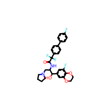 O=C(NC(CN1CCCC1)C(O)c1cc(F)c2c(c1)OCCO2)C(F)(F)c1ccc(-c2ccc(F)cc2)cc1